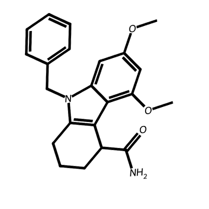 COc1cc(OC)c2c3c(n(Cc4ccccc4)c2c1)CCCC3C(N)=O